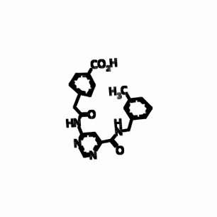 Cc1cccc(CNC(=O)c2cc(NC(=O)Cc3ccc(C(=O)O)cc3)ncn2)c1